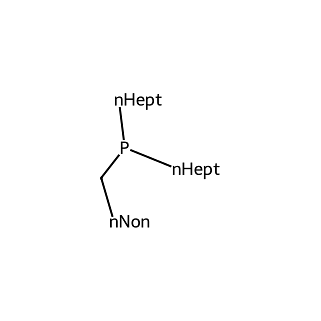 CCCCCCCCCCP(CCCCCCC)CCCCCCC